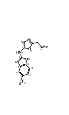 CNCc1nnc(Nc2nc3cc(C(F)(F)F)ccc3o2)o1